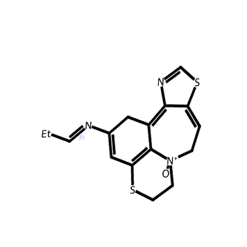 CC/C=N/C1=CC2=C3C(=c4ncsc4=CC[N+]3([O-])CCS2)C1